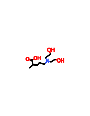 CC(=CCCN(CCO)CCO)C(=O)O